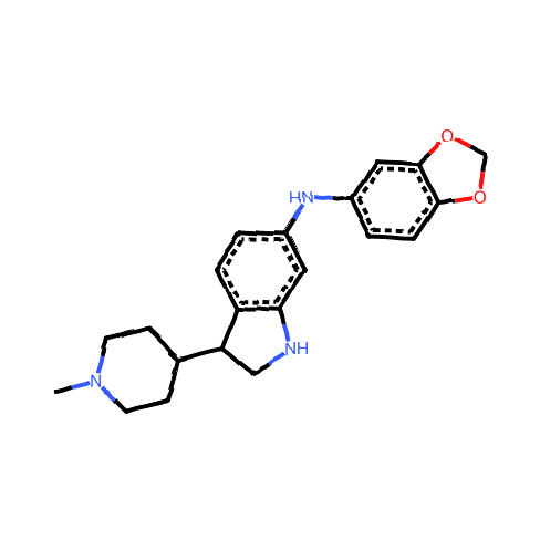 CN1CCC(C2CNc3cc(Nc4ccc5c(c4)OCO5)ccc32)CC1